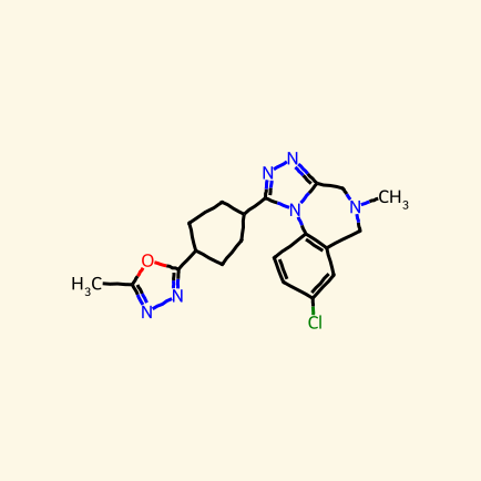 Cc1nnc(C2CCC(c3nnc4n3-c3ccc(Cl)cc3CN(C)C4)CC2)o1